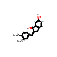 COc1ccc(C=C2Cc3ccc(O)cc3C2=O)cc1OC